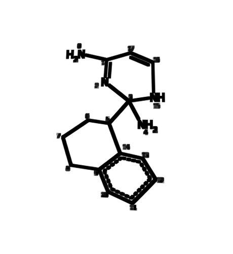 NC1=NC(N)(C2CCCc3ccccc32)NC=C1